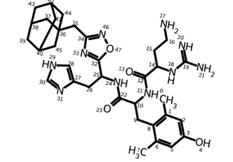 Cc1cc(O)cc(C)c1CC(NC(=O)C(CCN)NC(=N)N)C(=O)NC(Cc1c[nH]cn1)c1nc(CC23CC4CC(CC(C4)C2)C3)no1